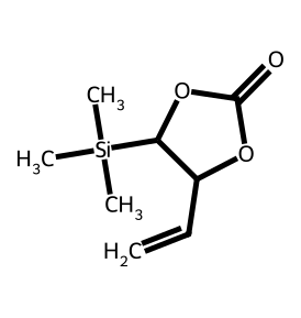 C=CC1OC(=O)OC1[Si](C)(C)C